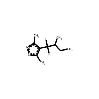 CCC(C)C(F)(F)c1c(C)noc1C